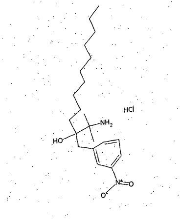 CCCCCCCCCCC(O)(Cc1cccc([N+](=O)[O-])c1)C(C)(C)N.Cl